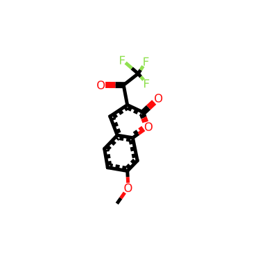 COc1ccc2cc(C(=O)C(F)(F)F)c(=O)oc2c1